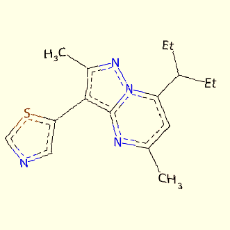 CCC(CC)c1cc(C)nc2c(-c3cncs3)c(C)nn12